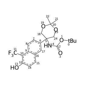 CC(C)(C)OC(=O)NC1(c2ccc3c(C(F)(F)F)c(O)ccc3c2)COC(C)(C)OC1